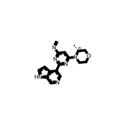 C=Nc1cc(N2CCOC[C@H]2C)nc(-c2cncc3[nH]ccc23)n1